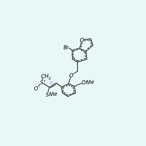 COc1cccc(/C=C(\SC)[S+](C)[O-])c1OCc1cc(Br)c2occc2c1